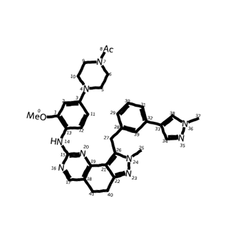 COc1cc(N2CCN(C(C)=O)CC2)ccc1Nc1ncc2c(n1)-c1c(nn(C)c1Cc1cccc(-c3cnn(C)c3)c1)CC2